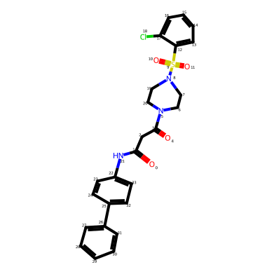 O=C(CC(=O)N1CCN(S(=O)(=O)c2ccccc2Cl)CC1)Nc1ccc(-c2ccccc2)cc1